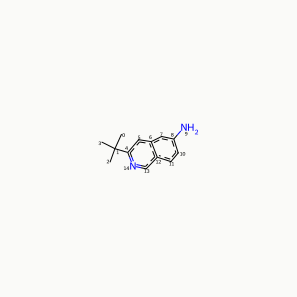 CC(C)(C)c1cc2cc(N)ccc2cn1